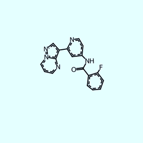 O=C(Nc1ccnc(-c2cnn3cccnc23)c1)c1ccccc1F